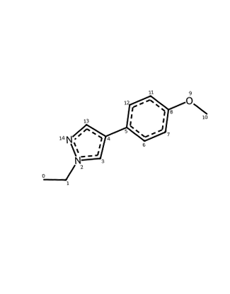 CCn1cc(-c2ccc(OC)cc2)cn1